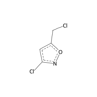 ClCc1cc(Cl)no1